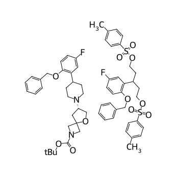 CC(C)(C)OC(=O)N1CC2(C[C@H](N3CCC(c4cc(F)ccc4OCc4ccccc4)CC3)CO2)C1.Cc1ccc(S(=O)(=O)OCCC(CCOS(=O)(=O)c2ccc(C)cc2)c2cc(F)ccc2OCc2ccccc2)cc1